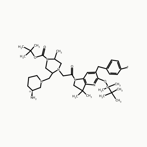 CC1CN(CC(=O)N2CC(C)(C)c3nc(O[Si](C)(C)C(C)(C)C)c(Cc4ccc(F)cc4)cc32)C(CN2CCC[C@H](N)C2)CN1C(=O)OC(C)(C)C